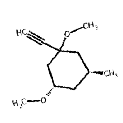 C#CC1(OC)C[C@@H](C)C[C@H](OC)C1